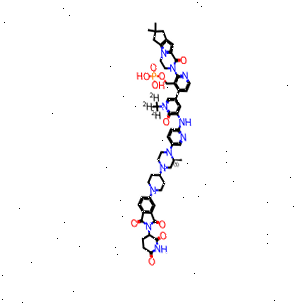 [2H]C([2H])([2H])n1cc(-c2ccnc(N3CCn4c(cc5c4CC(C)(C)C5)C3=O)c2COP(=O)(O)O)cc(Nc2ccc(N3CCN(C4CCN(c5ccc6c(c5)C(=O)N(C5CCC(=O)NC5=O)C6=O)CC4)C[C@@H]3C)cn2)c1=O